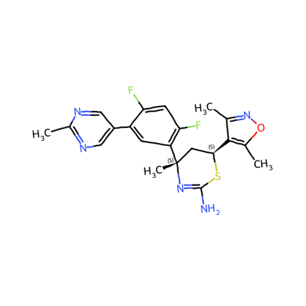 Cc1ncc(-c2cc([C@]3(C)C[C@@H](c4c(C)noc4C)SC(N)=N3)c(F)cc2F)cn1